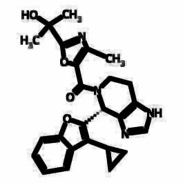 Cc1nc(C(C)(C)O)oc1C(=O)N1CCc2[nH]cnc2[C@@H]1c1oc2ccccc2c1C1CC1